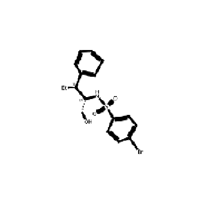 CC[C@@H](c1ccccc1)[C@@H](CO)NS(=O)(=O)c1ccc(Br)cc1